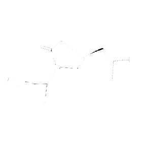 CCC(C(=O)O)N1C[C@H](C=C(F)F)CC1=O